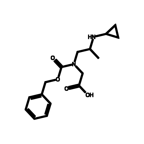 CC(CN(CC(=O)O)C(=O)OCc1ccccc1)NC1CC1